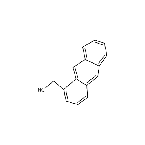 N#CCc1cccc2cc3ccccc3cc12